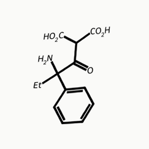 CCC(N)(C(=O)C(C(=O)O)C(=O)O)c1ccccc1